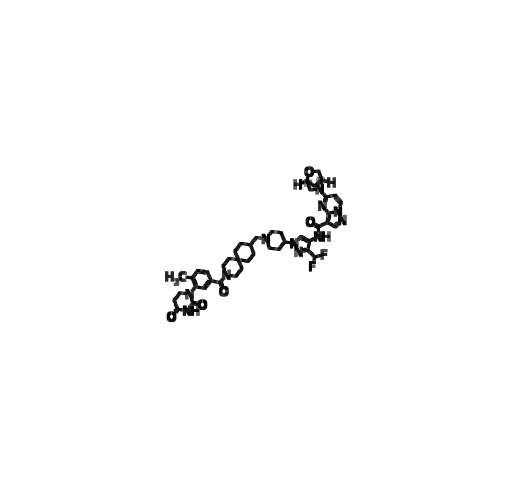 Cc1ccc(C(=O)N2CCC3(CCC(CN4CCC(n5cc(NC(=O)c6cnn7ccc(N8C[C@H]9C[C@@H]8CO9)nc67)c(C(F)F)n5)CC4)CC3)CC2)cc1N1CCC(=O)NC1=O